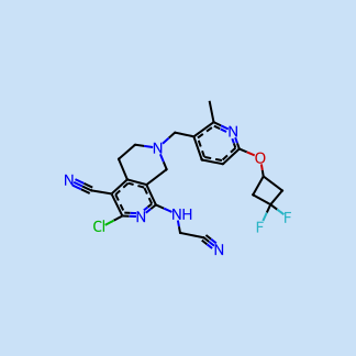 Cc1nc(OC2CC(F)(F)C2)ccc1CN1CCc2c(C#N)c(Cl)nc(NCC#N)c2C1